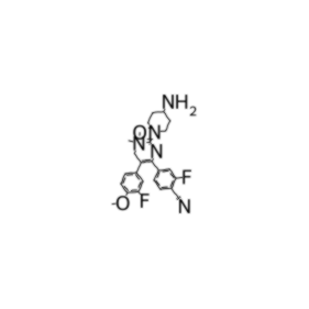 COc1ccc(C2=C(c3ccc(C#N)c(F)c3)N=C(N3CCC(N)CC3)[N+](C)([O-])C2)cc1F